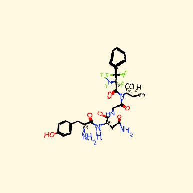 CC(C)C[C@@H](C(=O)O)N(C(=O)CNC(=O)[C@@H](CC(N)=O)NC(=O)[C@@H](N)Cc1ccc(O)cc1)C(=O)[C@@](F)(N(F)F)C(F)(F)c1ccccc1